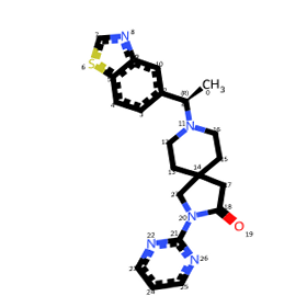 C[C@H](c1ccc2scnc2c1)N1CCC2(CC1)CC(=O)N(c1ncccn1)C2